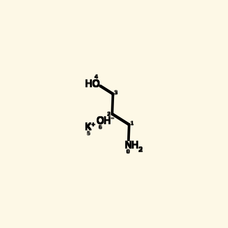 NCCCO.[K+].[OH-]